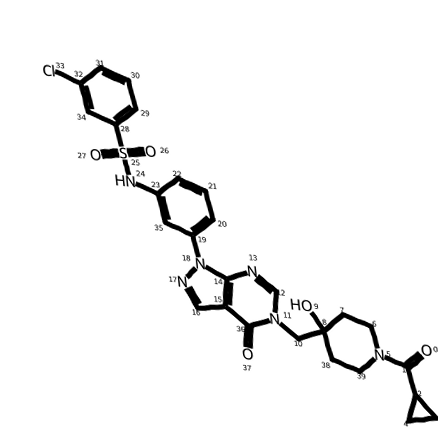 O=C(C1CC1)N1CCC(O)(Cn2cnc3c(cnn3-c3cccc(NS(=O)(=O)c4cccc(Cl)c4)c3)c2=O)CC1